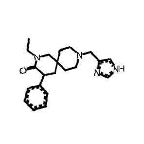 CCN1CC2(CCN(Cc3c[nH]cn3)CC2)CC(c2ccccc2)C1=O